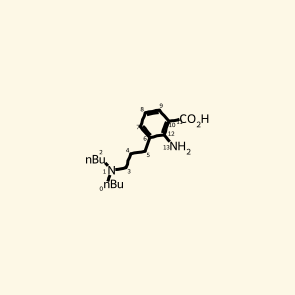 CCCCN(CCCC)CCCc1cccc(C(=O)O)c1N